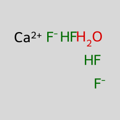 F.F.O.[Ca+2].[F-].[F-]